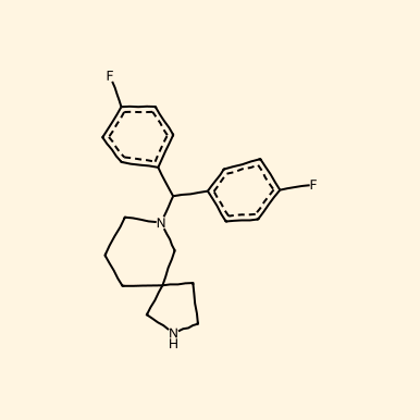 Fc1ccc(C(c2ccc(F)cc2)N2CCCC3(CCNC3)C2)cc1